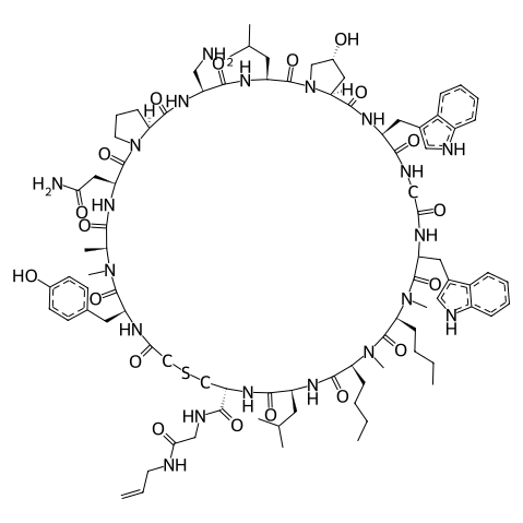 C=CCNC(=O)CNC(=O)[C@@H]1CSCC(=O)N[C@@H](Cc2ccc(O)cc2)C(=O)N(C)[C@@H](C)C(=O)N[C@@H](CC(N)=O)C(=O)N2CCC[C@H]2C(=O)N[C@@H](CN)C(=O)N[C@@H](CC(C)C)C(=O)N2C[C@H](O)C[C@H]2C(=O)N[C@@H](Cc2c[nH]c3ccccc23)C(=O)NCC(=O)NC(Cc2c[nH]c3ccccc23)C(=O)N(C)[C@@H](CCCC)C(=O)N(C)[C@@H](CCCC)C(=O)N[C@@H](CC(C)C)C(=O)N1